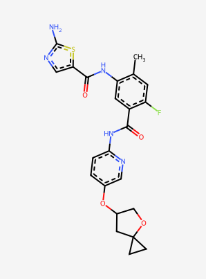 Cc1cc(F)c(C(=O)Nc2ccc(OC3COC4(CC4)C3)cn2)cc1NC(=O)c1cnc(N)s1